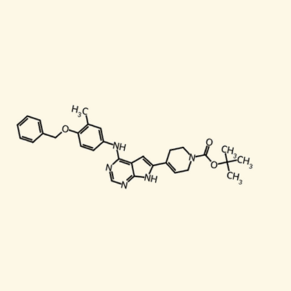 Cc1cc(Nc2ncnc3[nH]c(C4=CCN(C(=O)OC(C)(C)C)CC4)cc23)ccc1OCc1ccccc1